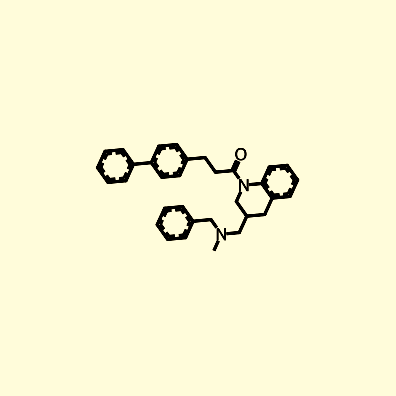 CN(Cc1ccccc1)CC1Cc2ccccc2N(C(=O)CCc2ccc(-c3ccccc3)cc2)C1